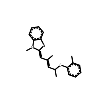 CC(/C=C1\Sc2ccccc2N1C)=C\C(C)Sc1ccccc1C